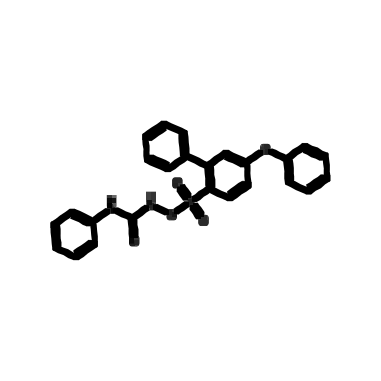 O=C(NOS(=O)(=O)c1ccc(Oc2ccccc2)cc1-c1ccccc1)Nc1ccccc1